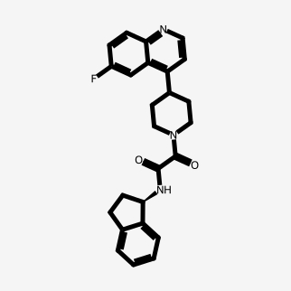 O=C(N[C@@H]1CCc2ccccc21)C(=O)N1CCC(c2ccnc3ccc(F)cc23)CC1